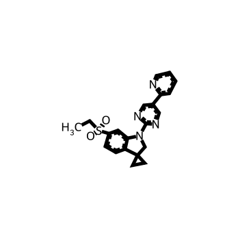 CCS(=O)(=O)c1ccc2c(c1)N(c1ncc(-c3ccccn3)cn1)CC21CC1